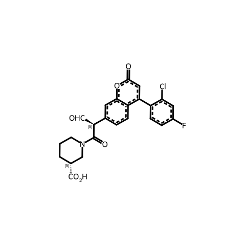 O=C[C@H](C(=O)N1CCC[C@@H](C(=O)O)C1)c1ccc2c(-c3ccc(F)cc3Cl)cc(=O)oc2c1